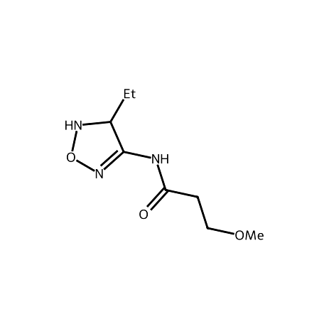 CCC1NON=C1NC(=O)CCOC